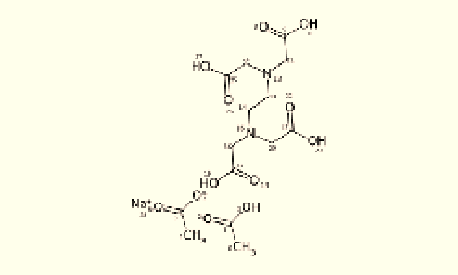 CC(=O)O.CC(=O)[O-].O=C(O)CN(CCN(CC(=O)O)CC(=O)O)CC(=O)O.[Na+]